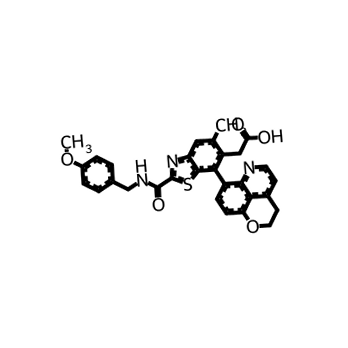 COc1ccc(CNC(=O)c2nc3cc(C)c(CC(=O)O)c(-c4ccc5c6c(ccnc46)CCO5)c3s2)cc1